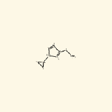 CCc1ncn(C2CC2)n1